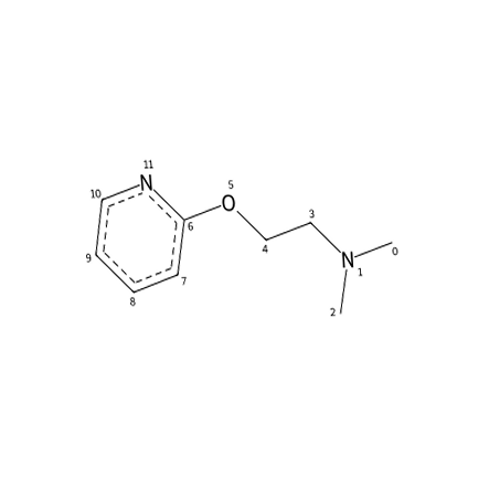 CN(C)CCOc1ccccn1